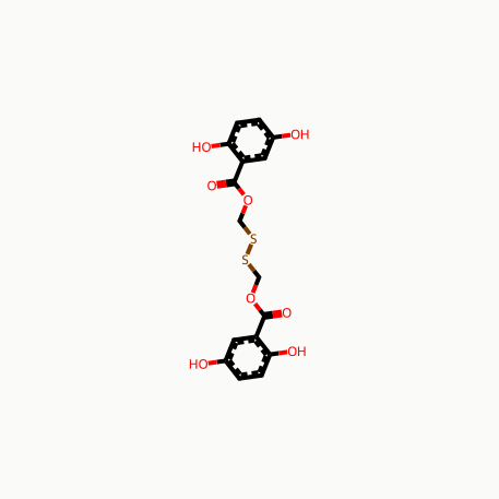 O=C(OCSSCOC(=O)c1cc(O)ccc1O)c1cc(O)ccc1O